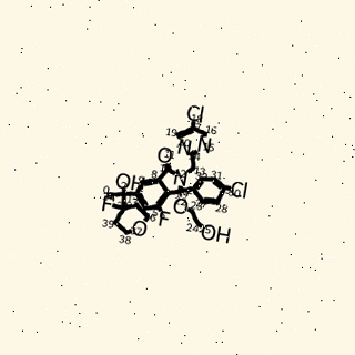 CC(O)(c1cc(F)c2c(c1)C(=O)N(Cc1ncc(Cl)cn1)[C@@]2(OCCO)c1ccc(Cl)cc1)C1(F)CCOCC1